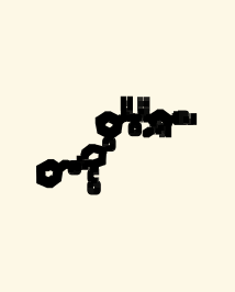 Cn1nc(C(C)(C)C)cc1NC(=O)Nc1cccc(OC2CCN(OCc3ccccc3)C(=C=O)C2)c1